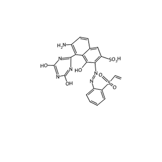 C=CS(=O)(=O)c1ccccc1N=Nc1c(S(=O)(=O)O)cc2ccc(N)c(-c3nc(O)nc(O)n3)c2c1O